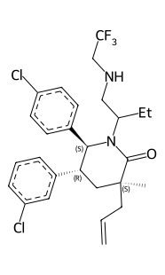 C=CC[C@@]1(C)C[C@H](c2cccc(Cl)c2)[C@@H](c2ccc(Cl)cc2)N(C(CC)CNCC(F)(F)F)C1=O